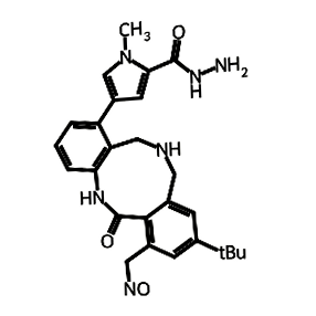 Cn1cc(-c2cccc3c2CNCc2cc(C(C)(C)C)cc(CN=O)c2C(=O)N3)cc1C(=O)NN